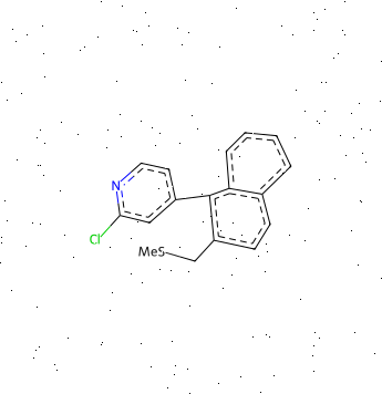 CSCc1ccc2ccccc2c1-c1ccnc(Cl)c1